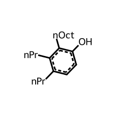 CCCCCCCCc1c(O)ccc(CCC)c1CCC